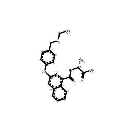 C[C@@H](NC(=O)c1nc(Oc2ccc(COCO)cc2)cc2ccccc12)C(=O)O